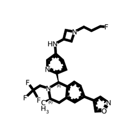 C[C@@H]1Cc2cc(-c3cnoc3)ccc2[C@H](c2ccc(NC3CN(CCCF)C3)cn2)N1CC(F)(F)F